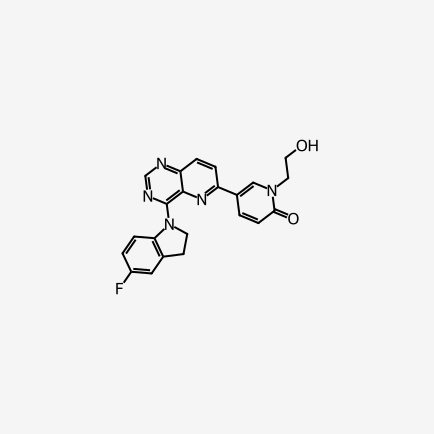 O=c1ccc(-c2ccc3ncnc(N4CCc5cc(F)ccc54)c3n2)cn1CCO